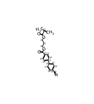 C=C(C)C(=O)OCCCOC(=O)c1ccc(-c2ccc(C#N)cc2)cc1